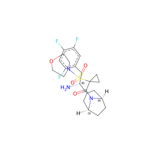 N[C@H](Cc1cc(F)c(F)cc1F)C1C[C@H]2CC[C@@H](C1)N2C(=O)C1(S(=O)(=O)N2CCOCC2)CC1